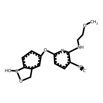 [C-]#[N+]c1ccc(Oc2ccc3c(c2)COB3O)nc1NCCOC